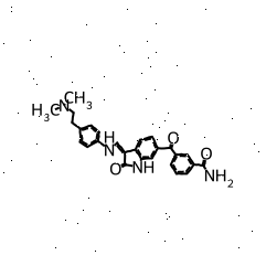 CN(C)CCc1ccc(NC=C2C(=O)Nc3cc(C(=O)c4cccc(C(N)=O)c4)ccc32)cc1